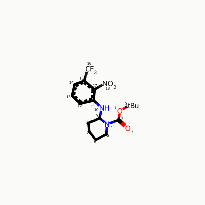 CC(C)(C)OC(=O)N1CCCCC1Nc1cccc(C(F)(F)F)c1[N+](=O)[O-]